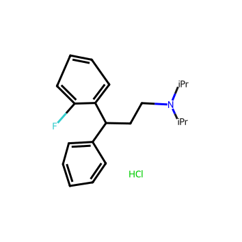 CC(C)N(CCC(c1ccccc1)c1ccccc1F)C(C)C.Cl